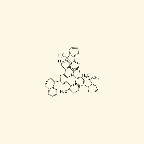 CC1=C(c2cc(-c3cccc4ccccc34)cc(-c3ccccc3C)c2N(c2c#cc3c(c2)C(C)(C)c2ccccc2-3)c2ccc3c(c2)C(C)(C)c2ccccc2-3)CCC=C1